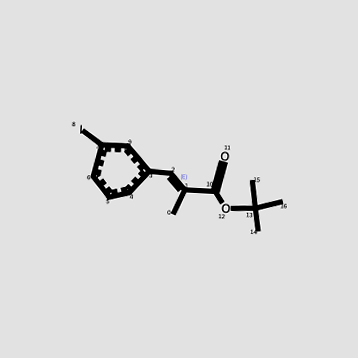 C/C(=C\c1cccc(I)c1)C(=O)OC(C)(C)C